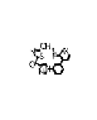 Cc1cnc(C(=O)c2cn(-c3cccc(-c4ccncc4F)c3)cn2)s1